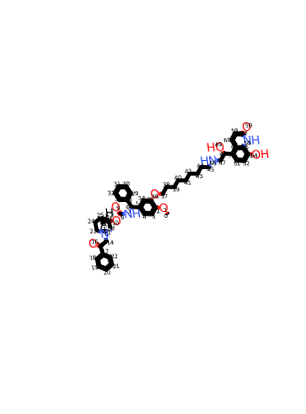 COc1ccc(C(NC(=O)O[C@H]2C[N+]3(CC(=O)c4ccccc4)CCC2CC3)c2ccccc2)cc1OCCCCCCCCCNCC(O)c1ccc(O)c2[nH]c(=O)ccc12